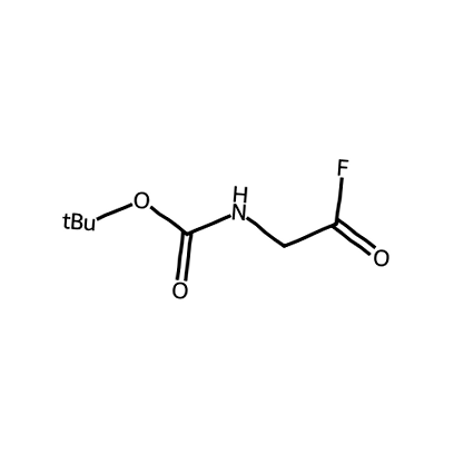 CC(C)(C)OC(=O)NCC(=O)F